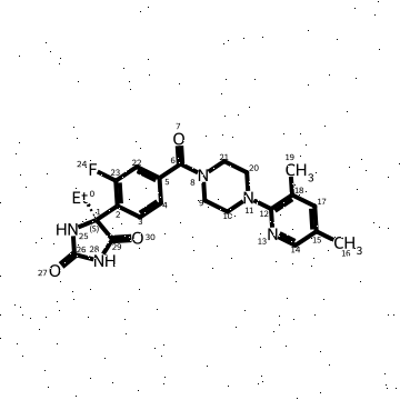 CC[C@@]1(c2ccc(C(=O)N3CCN(c4ncc(C)cc4C)CC3)cc2F)NC(=O)NC1=O